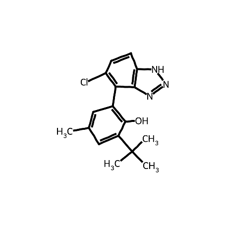 Cc1cc(-c2c(Cl)ccc3[nH]nnc23)c(O)c(C(C)(C)C)c1